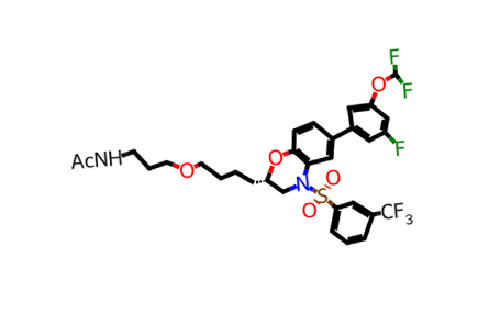 CC(=O)NCCCOCCCC[C@H]1CN(S(=O)(=O)c2cccc(C(F)(F)F)c2)c2cc(-c3cc(F)cc(OC(F)F)c3)ccc2O1